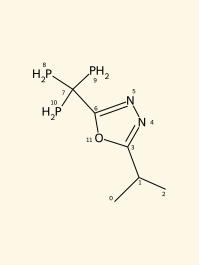 CC(C)c1nnc(C(P)(P)P)o1